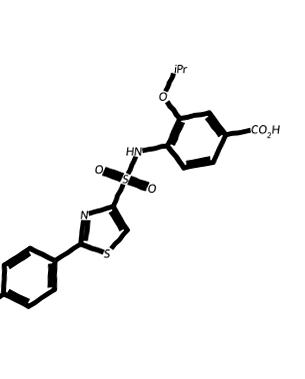 CC(C)Oc1cc(C(=O)O)ccc1NS(=O)(=O)c1csc(-c2ccc(F)cc2)n1